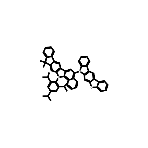 CC(C)c1cc(C(C)C)c(B2c3cc4c(cc3-c3cc(-n5c6ccccc6c6cc7c(cc65)oc5ccccc57)c5ccccc5c32)-c2ccccc2C4(C)C)c(C(C)C)c1